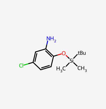 CC(C)(C)[Si](C)(C)Oc1ccc(Cl)cc1N